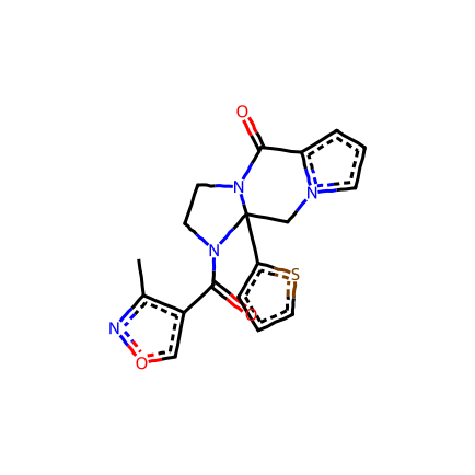 Cc1nocc1C(=O)N1CCN2C(=O)c3cccn3CC12c1cccs1